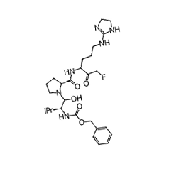 CC(C)[C@H](NC(=O)OCc1ccccc1)C(O)N1CCC[C@H]1C(=O)N[C@@H](CCCNC1=NCCN1)C(=O)CF